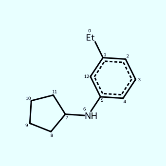 CCc1cccc(NC2CCCC2)c1